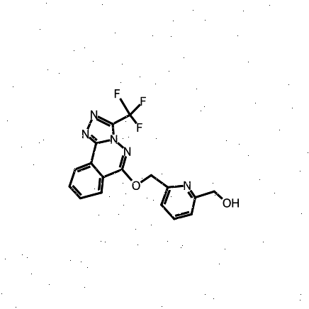 OCc1cccc(COc2nn3c(C(F)(F)F)nnc3c3ccccc23)n1